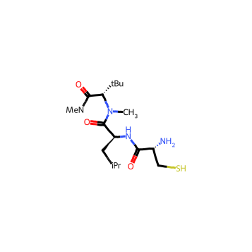 CNC(=O)[C@@H](N(C)C(=O)[C@H](CC(C)C)NC(=O)[C@H](N)CS)C(C)(C)C